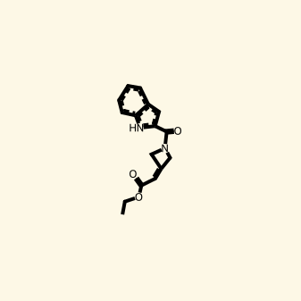 CCOC(=O)C=C1CN(C(=O)c2cc3ccccc3[nH]2)C1